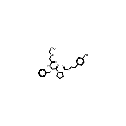 O=C(O)CNCC(=O)N[C@@H](Cc1ccccc1)C(=O)N1CCC[C@H]1C(=O)NCCc1ccc(O)cc1